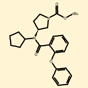 CC(C)(C)OC(=O)N1CC[C@H](N(C(=O)c2ccccc2Oc2ccccc2)C2CCCC2)C1